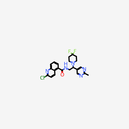 Cc1ncc(C(CNC(=O)c2cccc3nc(Cl)ccc23)N2CCC(F)(F)CC2)cn1